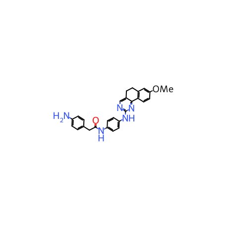 COc1ccc2c(c1)CCc1cnc(Nc3ccc(NC(=O)Cc4ccc(N)cc4)cc3)nc1-2